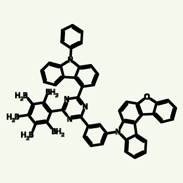 Bc1c(B)c(B)c(-c2nc(-c3cccc(-n4c5ccccc5c5c6c(ccc54)oc4ccccc46)c3)nc(-c3cccc4c3c3ccccc3n4-c3ccccc3)n2)c(B)c1B